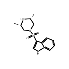 C[C@@H]1CN(S(=O)(=O)c2c[nH]c3ccccc23)C[C@H](C)N1